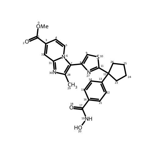 COC(=O)c1ccn2c(-c3csc(C4(c5ccc(C(=O)NO)cc5)CCCC4)n3)c(C)nc2c1